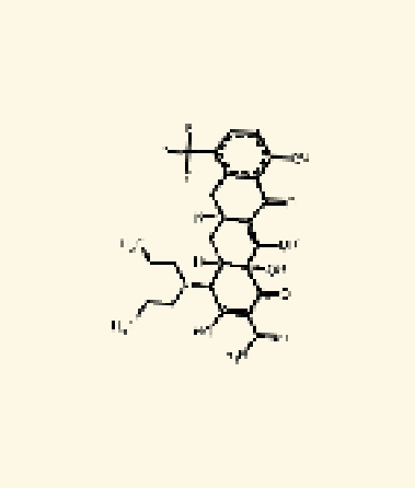 CCCN(CCC)[C@@H]1C(O)=C(C(N)=O)C(=O)[C@@]2(O)C(O)=C3C(=O)c4c(O)ccc(C(F)(F)F)c4C[C@H]3C[C@@H]12